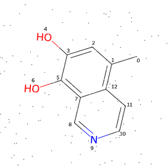 Cc1cc(O)c(O)c2cnccc12